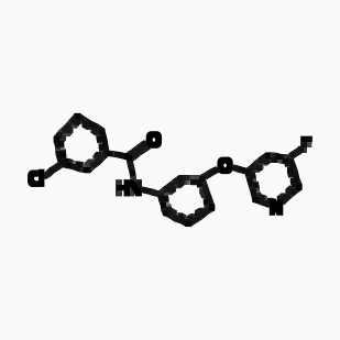 O=C(Nc1cccc(Oc2cncc(F)c2)c1)c1cccc(Cl)c1